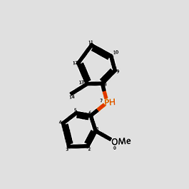 COc1ccccc1Pc1ccccc1C